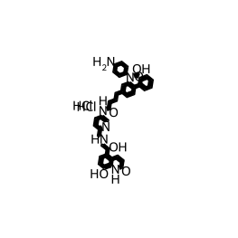 Cl.Cl.N[C@H]1CC[C@H](N(C(=O)O)c2cc(CCCC(=O)Nc3ccc(CNC[C@H](O)c4ccc(O)c5[nH]c(=O)ccc45)nc3)ccc2-c2ccccc2)CC1